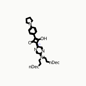 CCCCCCCCCCCC[N+](CCCCCCCCCCCC)=C1C=N/C(=C2\C(=O)C(c3ccc(N4CCCC4)cc3)=C2O)C=N1